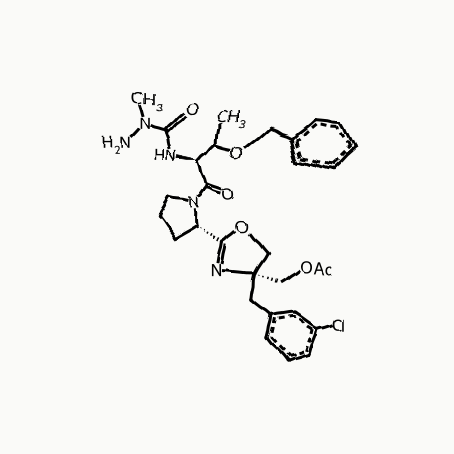 CC(=O)OC[C@@]1(Cc2cccc(Cl)c2)COC([C@@H]2CCCN2C(=O)[C@@H](NC(=O)N(C)N)C(C)OCc2ccccc2)=N1